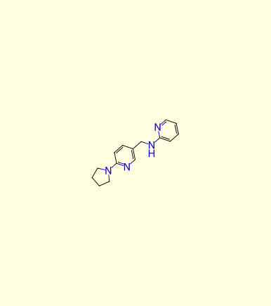 c1ccc(NCc2ccc(N3CCCC3)nc2)nc1